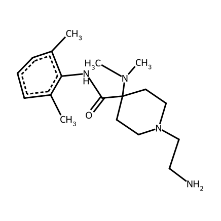 Cc1cccc(C)c1NC(=O)C1(N(C)C)CCN(CCN)CC1